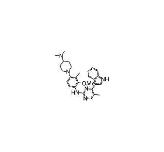 COc1c(Nc2ncc(C)c(-c3c[nH]c4ccccc34)n2)ccc(N2CCC(N(C)C)CC2)c1C